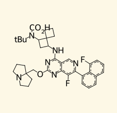 CC(C)(C)N(C(=O)O)C1CC(Nc2nc(OCC34CCCN3CCC4)nc3c(F)c(-c4cccc5cccc(F)c45)ncc23)C12CCC2